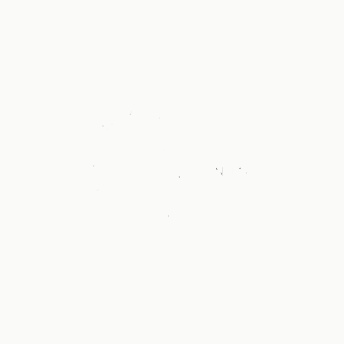 CC(=O)NCCc1cccc2ccc3c(c12)C=CCO3